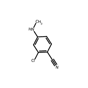 CNc1ccc(C#N)c(Cl)c1